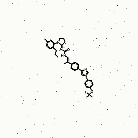 CCCc1ccc(C)cc1N1CCS/C1=N\C(=O)N/C=C(\C)c1ccc(-c2ncn(-c3ccc(OC(F)(F)F)cc3)n2)cc1